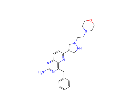 Nc1nc(Cc2ccccc2)c2nc(C3=CN(CCN4CCOCC4)NC3)ccc2n1